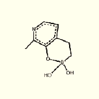 Cc1nccc2c1O[B-](O)(O)CC2